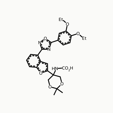 CCOc1ccc(-c2nc(-c3cccc4oc(C5(NC(=O)O)COC(C)(C)OC5)cc34)no2)cc1OCC